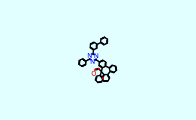 c1ccc(-c2cccc(-c3nc(-c4ccccc4)nc(-c4ccc5c(c4)C4(c6ccccc6Oc6ccccc64)c4ccccc4-c4ccccc4-5)n3)c2)cc1